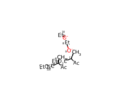 CCOC(=O)C(C)C(C)=O.CCOC(=O)C(C)C(C)=O.CC[O-].CC[O-].[Ti+2]